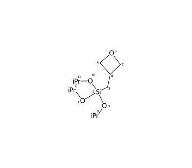 CC(C)O[Si](CC1COC1)(OC(C)C)OC(C)C